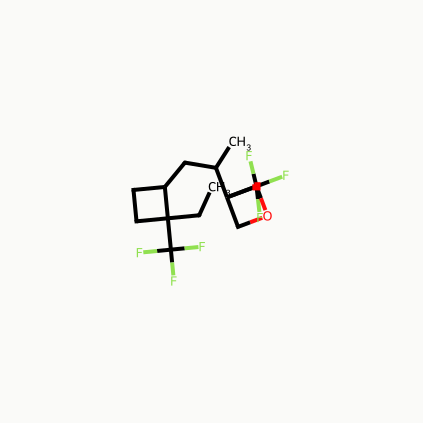 CCC1(C(F)(F)F)CCC1CC(C)C1(C(F)(F)F)COC1